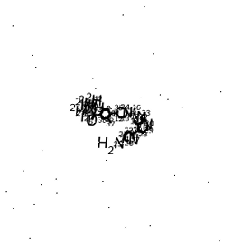 [2H]C([2H])([2H])N(C(=O)c1ccc(C2CCN([C@H](C)c3cc4c(-c5ccc(N)cn5)ccnc4n3C)CC2)c(C)c1)C([2H])([2H])[2H]